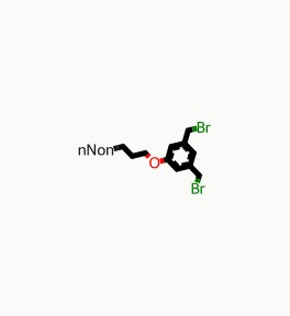 CCCCCCCCCCCCOc1cc(CBr)cc(CBr)c1